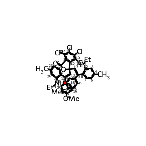 CCNc1cc(C)ccc1C(=CC1(C=C(c2ccc(OC)cc2)c2ccc(C)cc2NCC)OC(=O)c2c(Cl)c(Cl)c(Cl)c(Cl)c21)c1ccc(OC)cc1